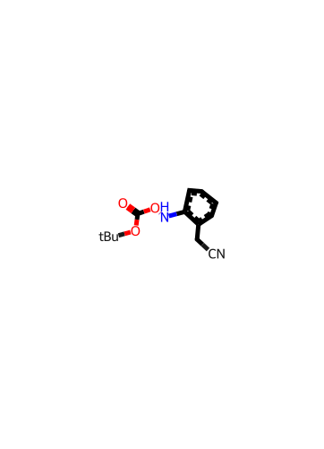 CC(C)(C)OC(=O)ONc1ccccc1CC#N